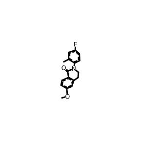 COc1ccc2c(c1)CCN(c1ccc(F)cc1C)C2=O